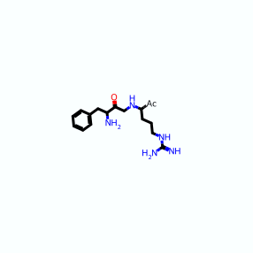 CC(=O)C(CCCNC(=N)N)NCC(=O)C(N)Cc1ccccc1